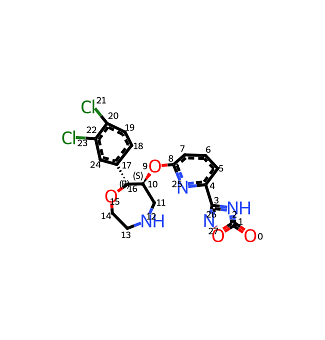 O=c1[nH]c(-c2cccc(O[C@H]3CNCCO[C@@H]3c3ccc(Cl)c(Cl)c3)n2)no1